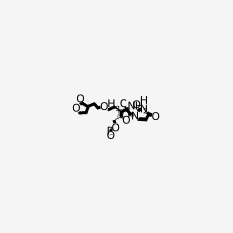 C[C@@]1(N)[C@H](CCOCCC2CCOC2=O)[C@@H](COP=O)O[C@H]1n1ccc(=O)[nH]c1=O